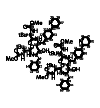 COC(=O)N[C@H](C(=O)N[C@@H](Cc1ccccc1)[C@@H](O)CN(Cc1ccc(-c2ccccn2)cc1)NC(=O)[C@@H](NC(=O)OC)C(C)(C)C)C(C)(C)C.COC(=O)N[C@H](C(=O)N[C@@H](Cc1ccccc1)[C@@H](O)CN(Cc1ccc(-c2ccccn2)cc1)NC(=O)[C@@H](NC(=O)OC)C(C)(C)C)C(C)(C)C